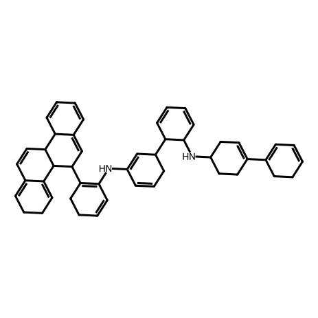 C1=CCCC(C2=CCC(NC3C=CC=CC3C3C=C(NC4=C(C5C=C6C=CC=CC6C6C=CC7=CCCC=C7C56)CCC=C4)C=CC3)CC2)=C1